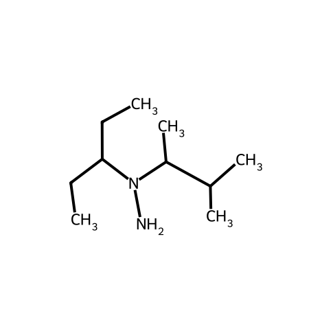 CCC(CC)N(N)C(C)C(C)C